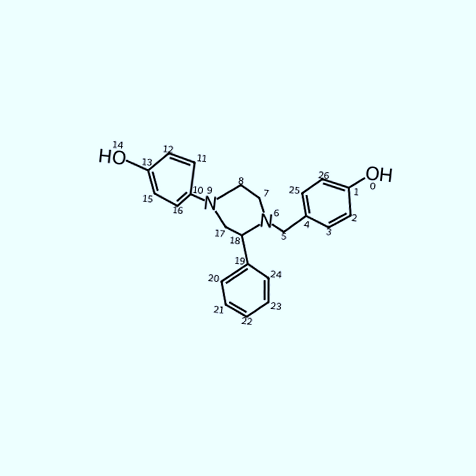 Oc1ccc(CN2CCN(c3ccc(O)cc3)CC2c2ccccc2)cc1